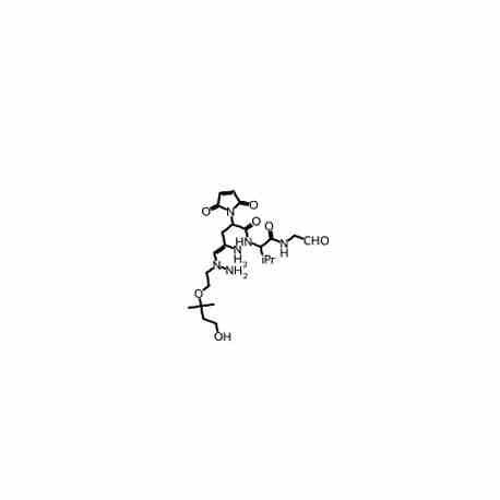 CC(C)C(NC(=O)C(C/C(N)=C/N(N)CCOC(C)(C)CCO)N1C(=O)C=CC1=O)C(=O)NCC=O